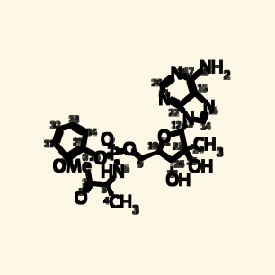 COC(=O)[C@H](C)NP(=O)(OC[C@H]1O[C@@H](n2cnc3c(N)ncnc32)[C@](C)(O)[C@@H]1O)Oc1ccccc1